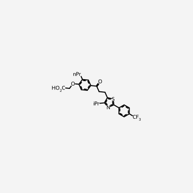 CCCc1cc(C(=O)CCc2sc(-c3ccc(C(F)(F)F)cc3)nc2C(C)C)ccc1OCC(=O)O